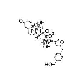 C[C@]12C=CC(=O)C=C1CC[C@H]1[C@@H]3C[C@H]4O[C@@H](c5coc(Cc6ccc(CO)cc6)c5)O[C@@]4(C(=O)CO)[C@@]3(C)C[C@H](O)[C@@]12F